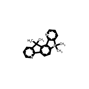 CC1(C)c2cccnc2-c2ccc3c(c21)-c1ncccc1[Si]3(C)C